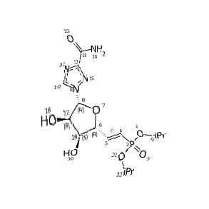 CC(C)OP(=O)(/C=C/[C@H]1O[C@@H](n2cnc(C(N)=O)n2)[C@H](O)[C@@H]1O)OC(C)C